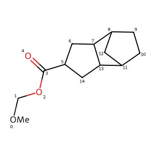 COCOC(=O)C1CC2C3CCC(C3)C2C1